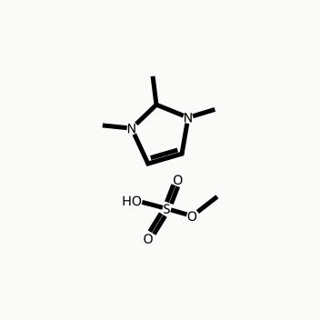 CC1N(C)C=CN1C.COS(=O)(=O)O